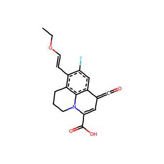 CCO/C=C/c1c(F)cc2c3c1CCCN3C(C(=O)O)=CC2=C=O